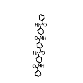 O=C(Nc1ccc(NC(=O)c2ccc(C(=O)Nc3ccc(NC(=O)c4ccccc4)cc3)cc2)cc1)c1ccccc1